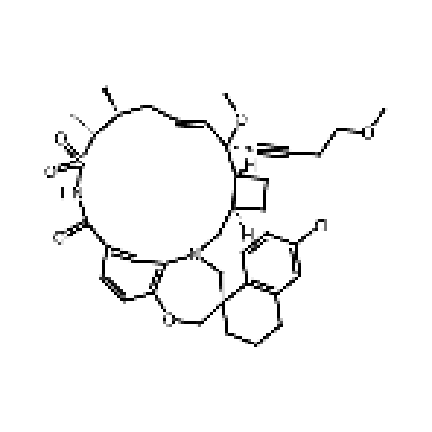 COCCC#C[C@@]1(OC)/C=C/C[C@H](C)[C@@H](C)S(=O)(=O)NC(=O)c2ccc3c(c2)N(C[C@@H]2CC[C@H]21)C[C@@]1(CCCc2cc(Cl)ccc21)CO3